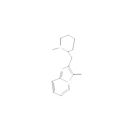 Cc1c(C[C@]2(C(C)(C)C)CCCCN2C(=O)O)nc2ccccn12